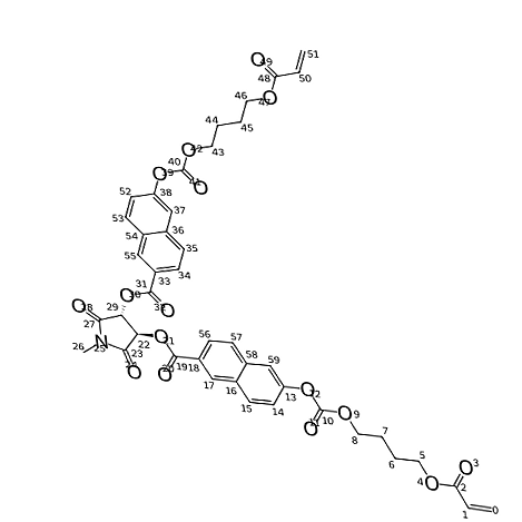 C=CC(=O)OCCCCOC(=O)Oc1ccc2cc(C(=O)O[C@H]3C(=O)N(C)C(=O)[C@@H]3OC(=O)c3ccc4cc(OC(=O)OCCCCOC(=O)C=C)ccc4c3)ccc2c1